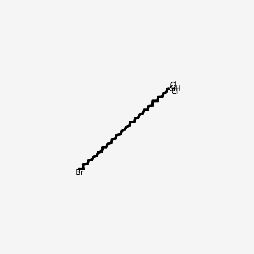 Cl[SiH](Cl)CCCCCCCCCCCCCCCCCCCCCCCCCCCCCCCCCCCCCCCBr